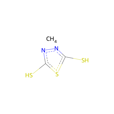 C.Sc1nnc(S)s1